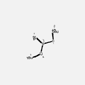 CC(C)(C)OB(Br)OC(C)(C)C